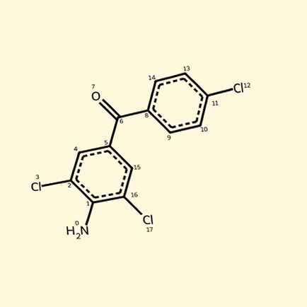 Nc1c(Cl)cc(C(=O)c2ccc(Cl)cc2)cc1Cl